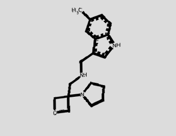 Cc1ccc2[nH]cc(CNCC3(N4CCCC4)COC3)c2c1